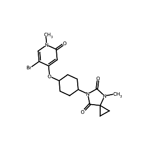 CN1C(=O)N(C2CCC(Oc3cc(=O)n(C)cc3Br)CC2)C(=O)C12CC2